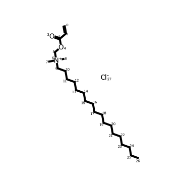 C=CC(=O)OC[N+](C)(C)CCCCCCCCCCCCCCCCCC.[Cl-]